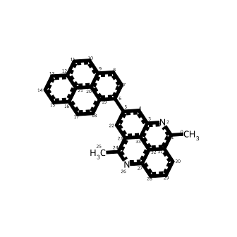 Cc1nc2cc(-c3ccc4ccc5cccc6ccc3c4c56)cc3c(C)nc4cccc1c4c23